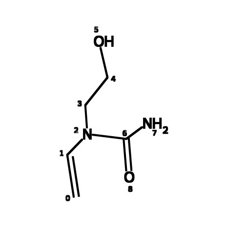 C=CN(CCO)C(N)=O